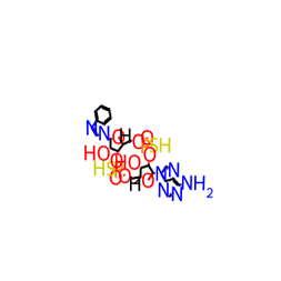 Nc1ncnc2c1ncn2[C@@H]1O[C@@H]2COP(=O)(S)OC3C(O)[C@H](n4cnc5ccccc54)O[C@@H]3COP(=O)(S)OC1C2O